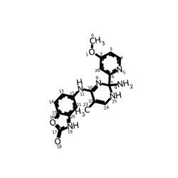 COc1ccnc(C2(N)N=C(Nc3ccc4oc(=O)[nH]c4c3)C(C)=CN2)c1